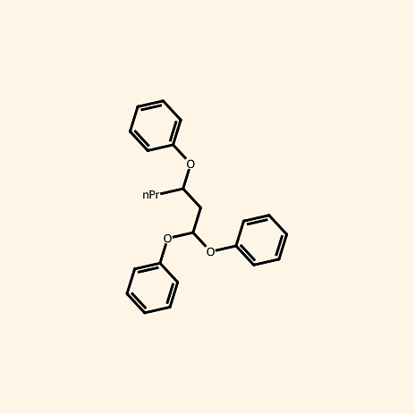 CCCC(CC(Oc1ccccc1)Oc1ccccc1)Oc1ccccc1